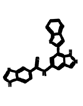 O=C(Nc1cc(-c2cc3ccccc3s2)c2[nH]ncc2c1)c1ccc2[nH]cnc2c1